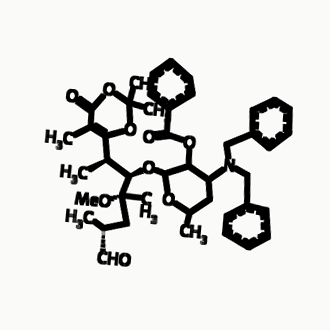 CO[C@](C)(C[C@@H](C)C=O)[C@H](OC1OC(C)CC(N(Cc2ccccc2)Cc2ccccc2)C1OC(=O)c1ccccc1)[C@@H](C)C1=C(C)C(=O)OC(C)(C)O1